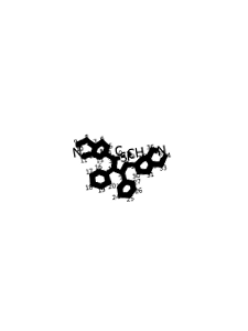 C[Si]1(C)C(c2ccc3ccncc3c2)=C(c2ccccc2)C(c2ccccc2)=C1c1ccc2ccncc2c1